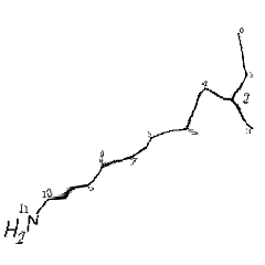 CCC(C)CCCCCCCN